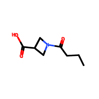 CCCC(=O)N1CC(C(=O)O)C1